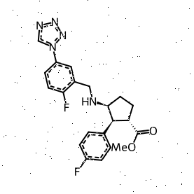 COC(=O)[C@H]1CC[C@H](NCc2cc(-n3cnnn3)ccc2F)[C@@H]1c1ccc(F)cc1